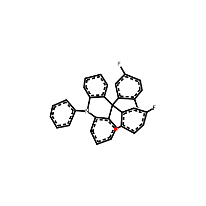 Fc1ccc(F)c(C2(c3cc(F)ccc3F)c3ccccc3N(c3ccccc3)c3ccccc32)c1